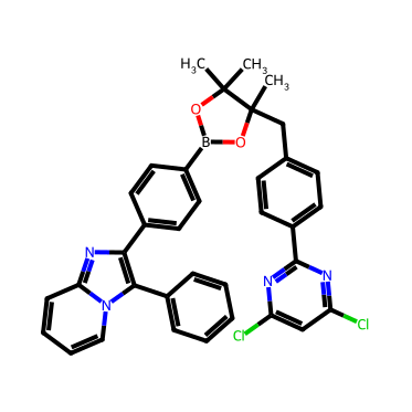 CC1(C)OB(c2ccc(-c3nc4ccccn4c3-c3ccccc3)cc2)OC1(C)Cc1ccc(-c2nc(Cl)cc(Cl)n2)cc1